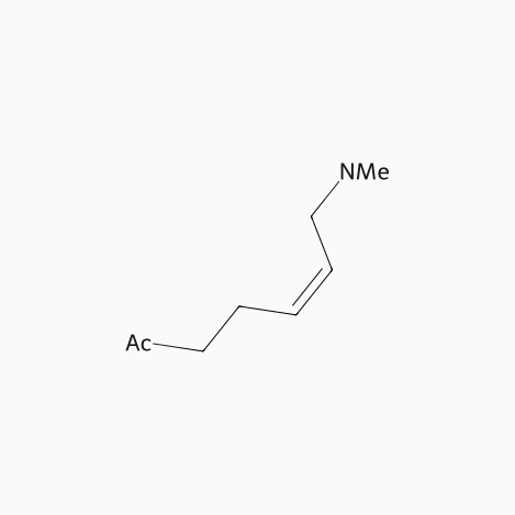 CNC/C=C\CCC(C)=O